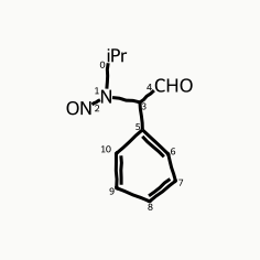 CC(C)N(N=O)C(C=O)c1ccccc1